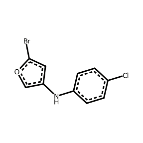 Clc1ccc(Nc2coc(Br)c2)cc1